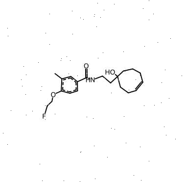 Cc1cc(C(=O)NCCC2(O)CC/C=C\CCC2)ccc1OCCF